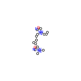 c1ccc(-c2nc(-c3ccccc3)nc(-c3ccc(-c4cc5c6c(cccc6c4)-c4cc(-c6ccc7ccc(-c8nc(-c9ccc%10ccc%11ccccc%11c%10c9)nc(-c9cccc%10oc%11ncccc%11c9%10)n8)cc7c6)ccc4-5)c4oc5ncccc5c34)n2)cc1